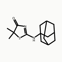 CC1(C)SC(NC23CC4CC(CC(C4)C2)C3)=NC1=O